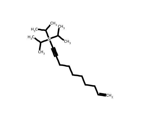 C=CCCCCCCC#C[Si](C(C)C)(C(C)C)C(C)C